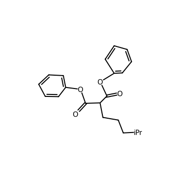 CC(C)CCCC(C(=O)Oc1ccccc1)C(=O)Oc1ccccc1